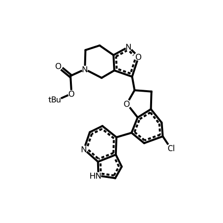 CC(C)(C)OC(=O)N1CCc2noc(C3Cc4cc(Cl)cc(-c5ccnc6[nH]ccc56)c4O3)c2C1